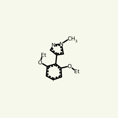 CCOc1c[c]cc(OCC)c1-c1cnn(C)c1